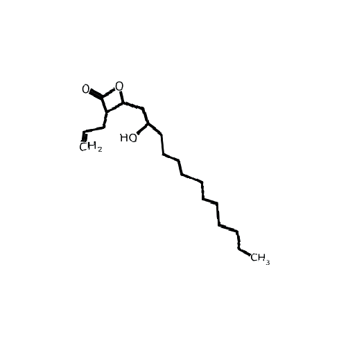 C=CCC1C(=O)OC1CC(O)CCCCCCCCCCC